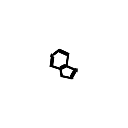 [C]1=Nc2ccncc2C1